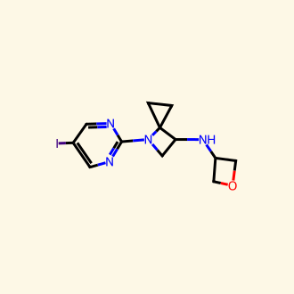 Ic1cnc(N2CC(NC3COC3)C23CC3)nc1